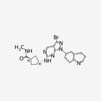 CNC(=O)[C@@H]1CC[C@@H](Nc2ncc3c(Br)nn(-c4ccc5ncccc5c4)c3n2)C1